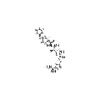 N=C(N)c1csc(CNC(=O)C2CC(C(=O)[C@H](O)NC(=O)c3ccc(Oc4ccccc4)cc3)CN2)c1